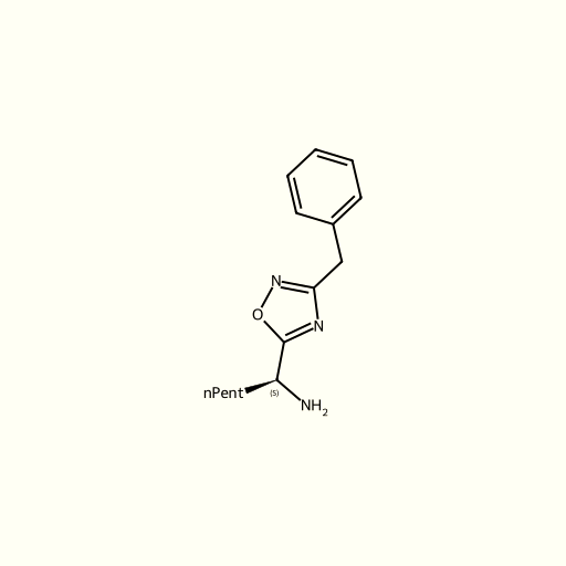 CCCCC[C@H](N)c1nc(Cc2ccccc2)no1